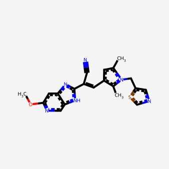 COc1cc2nc(/C(C#N)=C/c3cc(C)n(Cc4cncs4)c3C)[nH]c2cn1